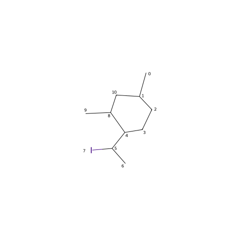 CC1CCC(C(C)I)C(C)C1